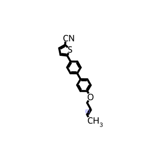 C/C=C/COc1ccc(-c2ccc(-c3ccc(C#N)s3)cc2)cc1